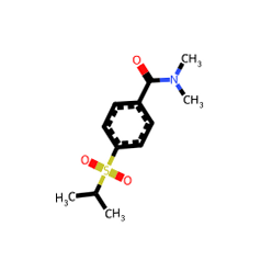 CC(C)S(=O)(=O)c1ccc(C(=O)N(C)C)cc1